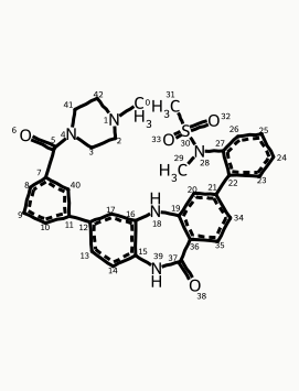 CN1CCN(C(=O)c2cccc(-c3ccc4c(c3)Nc3cc(-c5ccccc5N(C)S(C)(=O)=O)ccc3C(=O)N4)c2)CC1